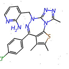 Cc1sc2c(c1C)C(c1ccc(Cl)cc1)=NN(Cc1cccnc1N)c1nnc(C)n1-2